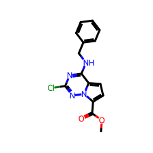 COC(=O)c1ccc2c(NCc3ccccc3)nc(Cl)nn12